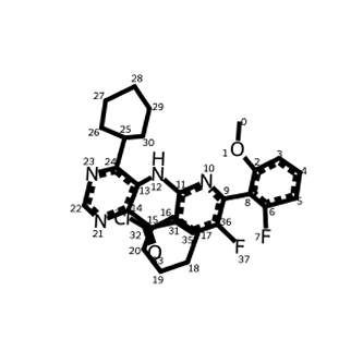 COc1cccc(F)c1-c1nc(Nc2c(C3CCCCC3)ncnc2C2CCCCC2)c(C(=O)Cl)cc1F